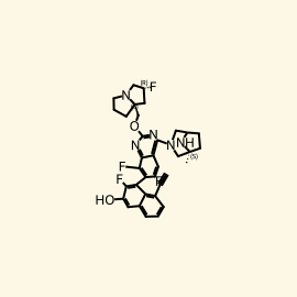 C#Cc1cccc2cc(O)c(F)c(-c3c(F)cc4c(N5CC6CC[C@@](C)(C5)N6)nc(OC[C@@]56CCCN5C[C@H](F)C6)nc4c3F)c12